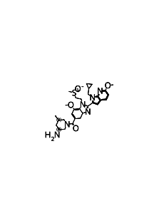 COC1=C2C(CC(C(=O)N3C[C@H](C)C[C@@H](N)C3)=C1)N=C(c1cc3ccc(OC)nc3n1CC1CC1)N2CC[S+](C)[O-]